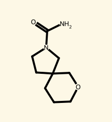 NC(=O)N1CCC2(CCCOC2)C1